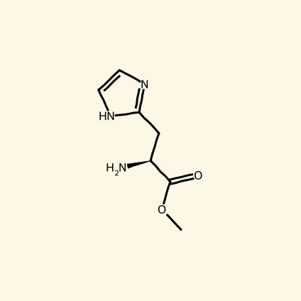 COC(=O)[C@@H](N)Cc1ncc[nH]1